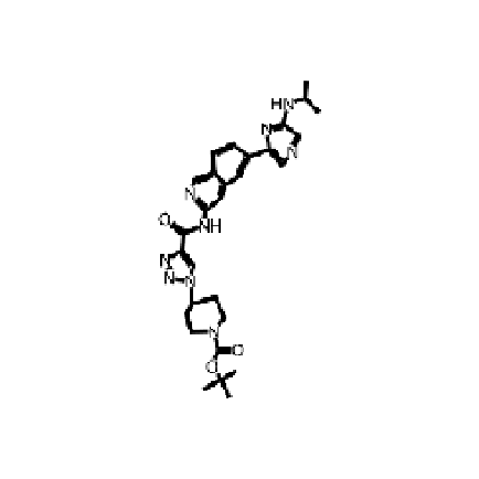 CC(C)Nc1cncc(-c2ccc3cnc(NC(=O)c4cn(C5CCN(C(=O)OC(C)(C)C)CC5)nn4)cc3c2)n1